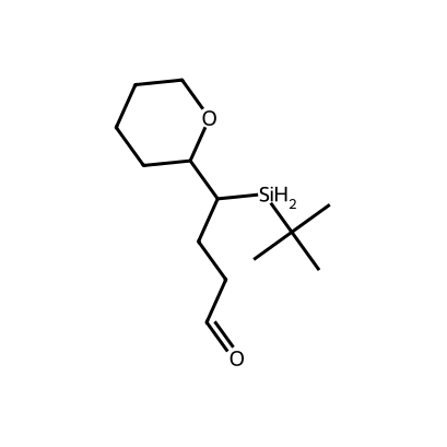 CC(C)(C)[SiH2]C(CCC=O)C1CCCCO1